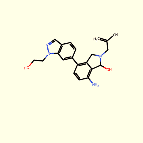 C=C(C#N)CN1Cc2c(-c3ccc4cnn(CCO)c4c3)ccc(N)c2C1O